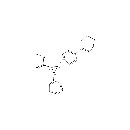 COC(=O)[C@@H]1[C@H](c2ccccc2)[C@H]1c1ccc(C2=CCCCC2)cc1